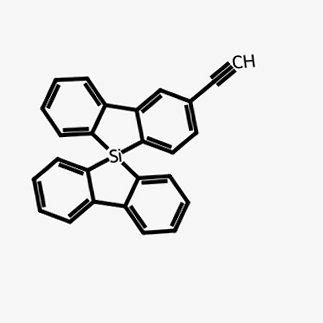 C#Cc1ccc2c(c1)-c1ccccc1[Si]21c2ccccc2-c2ccccc21